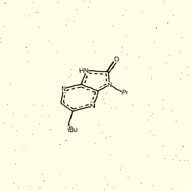 CCC(C)c1cnc2[nH]c(=O)n(C(C)C)c2n1